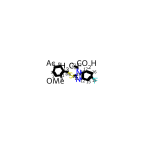 COc1ccc(C(C)=O)cc1CSc1nc2cc(F)ccc2n1C(C)C(=O)O